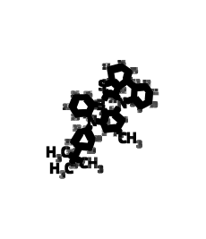 Cc1cc2c3c(c1)N1c4ccccc4-c4cccc5sc(c1c45)B3c1ccccc1N2c1ccc(C(C)(C)C)cc1